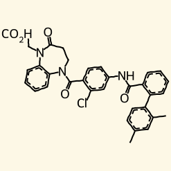 Cc1ccc(-c2ccccc2C(=O)Nc2ccc(C(=O)N3CCC(=O)N(CC(=O)O)c4ccccc43)c(Cl)c2)c(C)c1